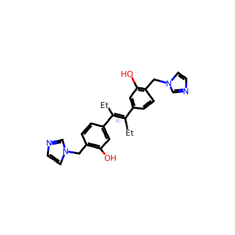 CC/C(=C(/CC)c1ccc(Cn2ccnc2)c(O)c1)c1ccc(Cn2ccnc2)c(O)c1